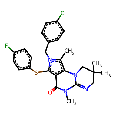 Cc1c2c(c(Sc3ccc(F)cc3)n1Cc1ccc(Cl)cc1)C(=O)N(C)C1=NCC(C)(C)CN12